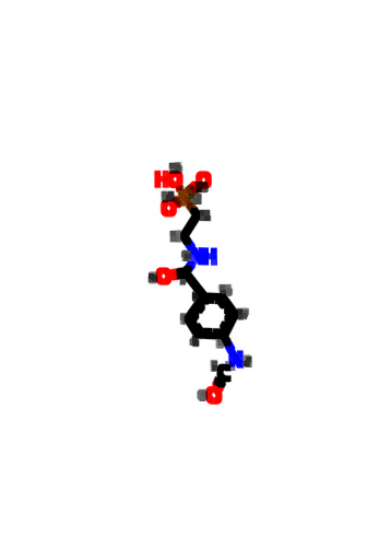 O=C=Nc1ccc(C(=O)NCCS(=O)(=O)O)cc1